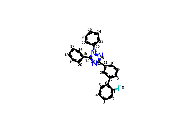 Fc1ccccc1-c1cccc(-c2nc(-c3ccccc3)n(-c3ccccc3)n2)c1